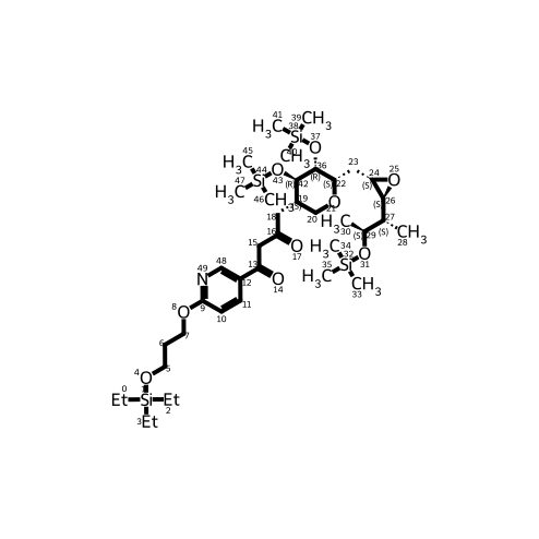 CC[Si](CC)(CC)OCCCOc1ccc(C(=O)CC(=O)C[C@H]2CO[C@@H](C[C@@H]3O[C@H]3[C@H](C)[C@H](C)O[Si](C)(C)C)[C@@H](O[Si](C)(C)C)[C@@H]2O[Si](C)(C)C)cn1